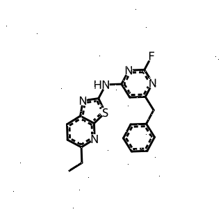 CCc1ccc2nc(Nc3cc(Cc4ccccc4)nc(F)n3)sc2n1